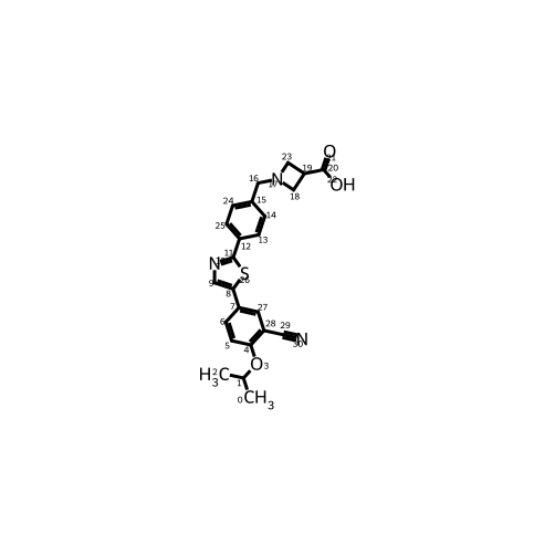 CC(C)Oc1ccc(-c2cnc(-c3ccc(CN4CC(C(=O)O)C4)cc3)s2)cc1C#N